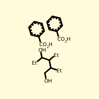 CCC(O)C(CC)C(CC)CO.O=C(O)c1ccccc1.O=C(O)c1ccccc1